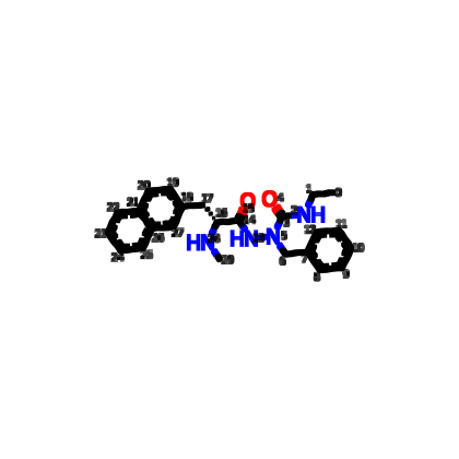 CCNC(=O)N(Cc1ccccc1)NC(=O)[C@@H](Cc1ccc2ccccc2c1)NC